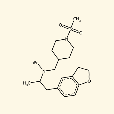 CCCN(CC1CCN(S(C)(=O)=O)CC1)C(C)Cc1ccc2c(c1)CCO2